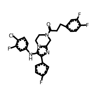 O=C(CCc1ccc(F)c(F)c1)N1CCn2c(nc(-c3ccc(F)cc3)c2Nc2ccc(Cl)c(F)c2)C1